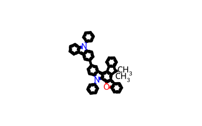 CC1(C)c2ccccc2-c2c1c1c3ccccc3oc1c1c2c2cc(-c3ccc4c(c3)c3ccccc3n4-c3ccccc3)ccc2n1-c1ccccc1